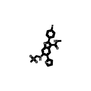 CNC(=O)c1c(-c2ccc(F)cc2)oc2cc(NCS(C)(=O)=O)c(-c3cccs3)cc12